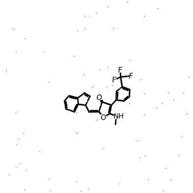 CNC1=C(c2cccc(C(F)(F)F)c2)C(=O)C(=CC2C=Cc3ccccc32)O1